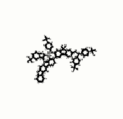 CC(C)(C)c1ccc(Nc2cc3c(cc2-c2ccc4c5cc6c(cc5n5c4c2Bc2sc4ccc(C(C)(C)C)cc4c2-5)sc2ccccc26)-c2ccc(CC(c4ccc(C(C)(C)C)cc4)c4ccc(C(C)(C)C)cc4)cc2C3(C)C)cc1